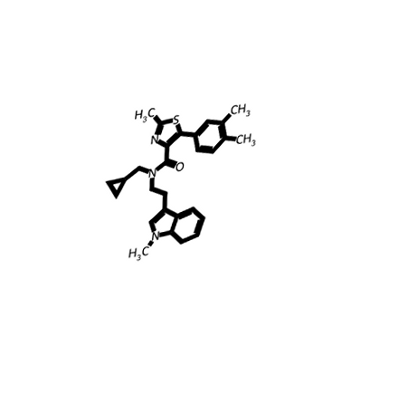 Cc1nc(C(=O)N(CCC2=CN(C)C3CC=CC=C23)CC2CC2)c(-c2ccc(C)c(C)c2)s1